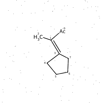 CC(=O)C(C)=C1CCCC1